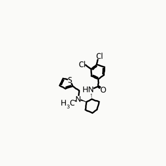 CN(Cc1cccs1)[C@@H]1CCCC[C@H]1NC(=O)c1ccc(Cl)c(Cl)c1